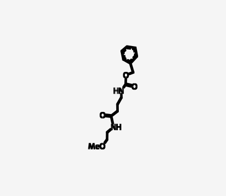 COCCNC(=O)CCCNC(=O)OCc1ccccc1